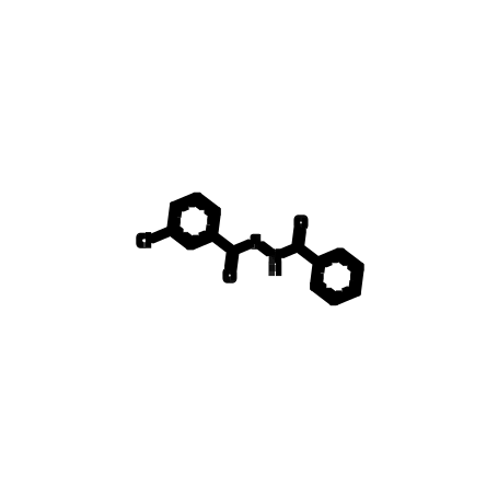 O=C(NSC(=O)c1cccc(Cl)c1)c1ccccc1